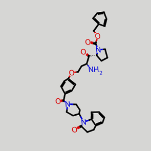 N[C@@H](CCOc1ccc(C(=O)N2CCC(N3C(=O)CCc4ccccc43)CC2)cc1)C(=O)[C@H]1CCCN1C(=O)OCc1ccccc1